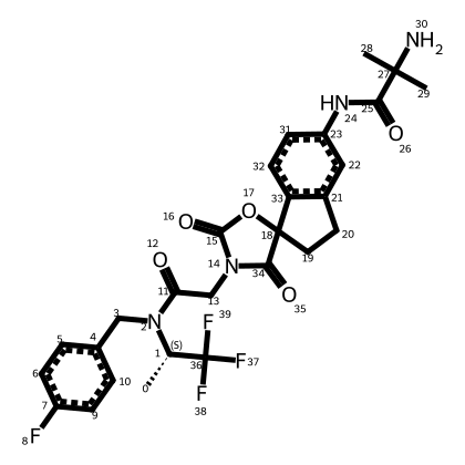 C[C@H](N(Cc1ccc(F)cc1)C(=O)CN1C(=O)OC2(CCc3cc(NC(=O)C(C)(C)N)ccc32)C1=O)C(F)(F)F